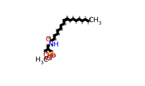 CCCCCCCC/C=C\CCCCCCCC(=O)NCC1COP(=O)(OC)C1